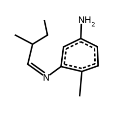 CCC(C)/C=N\c1cc(N)ccc1C